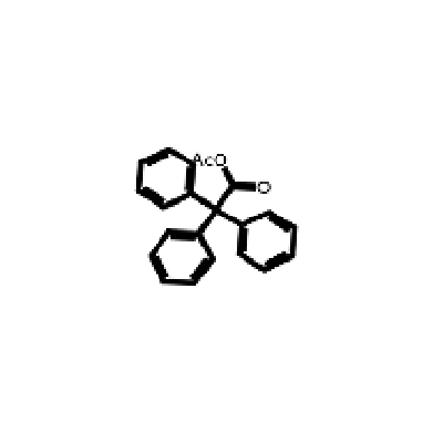 [CH2]C(=O)OC(=O)C(c1ccccc1)(c1ccccc1)c1ccccc1